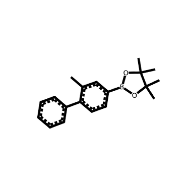 Cc1cc(B2OC(C)(C)C(C)(C)O2)ccc1-c1ccccc1